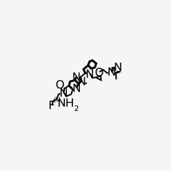 Cc1cncn1CCOc1cccc2cc(-c3nc4cc5c(nc4n3C)CCN(C[C@H](N)CF)C5=O)n(CC3CC3)c12